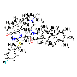 Bc1c(B)c(C(F)(F)F)c(B)c(B)c1-c1c(B)c(B)c(C(B)(B)N(CCN(C(B)(B)C)C(B)(B)C)C(=O)C(B)(B)n2c(SC(B)(B)c3ccc(F)cc3)nc(=O)c3c2C(B)(B)C(B)(B)C3(B)B)c(B)c1B